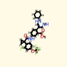 COC(=O)c1cc(NC(=O)C2(c3ccc(OC(F)(F)F)cc3F)CC2)ccc1/C(C=N)=C/NC1CCCCC1